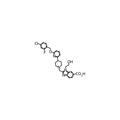 O=C(O)c1ccc2nc(CN3CCC(c4cccc(OCc5ccc(Cl)cc5F)n4)CC3)n(CCO)c2c1